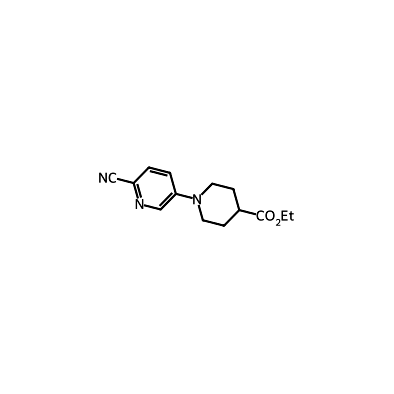 CCOC(=O)C1CCN(c2ccc(C#N)nc2)CC1